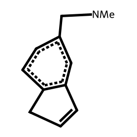 CNCc1ccc2c(c1)C=CC2